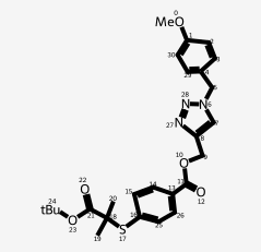 COc1ccc(Cn2cc(COC(=O)c3ccc(SC(C)(C)C(=O)OC(C)(C)C)cc3)nn2)cc1